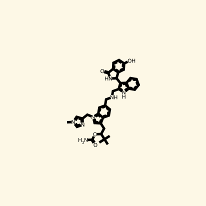 Cn1cnc(Cn2cc(CC(OC(N)=O)C(C)(C)C)c3ccc(CNCc4[nH]c5ccccc5c4C4NC(=O)c5ccc(O)cc54)cc32)c1